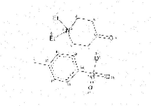 CC[N+]1(CC)CCC(=O)CC1.Cc1ccc(S(=O)(=O)[O-])cc1